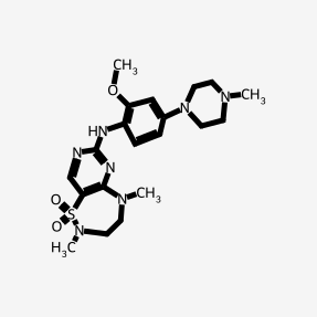 COc1cc(N2CCN(C)CC2)ccc1Nc1ncc2c(n1)N(C)CCN(C)S2(=O)=O